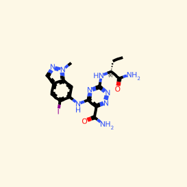 CC[C@@H](Nc1nnc(C(N)=O)c(Nc2cc3c(cnn3C)cc2I)n1)C(N)=O